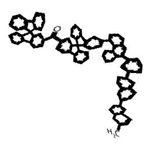 CC1C=Cc2cc(-c3ccc4cc(-c5cccc(-c6cc7cccc(-c8ccc9c(c8)-c8ccccc8C98c9ccccc9-c9ccc(C(=O)c%10ccc%11c(c%10)C%10(c%12ccccc%12-c%12ccccc%12%10)c%10ccccc%10-%11)cc98)c7c7ccccc67)c5)ccc4c3)ccc2C1